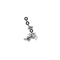 CC(N)(COP(=O)(O)O)C(=O)Nc1ccc(S(=O)(=O)CCc2ccc(-c3ccccc3)cc2)cc1